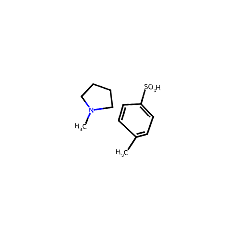 CN1CCCC1.Cc1ccc(S(=O)(=O)O)cc1